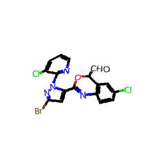 O=CC1OC(c2cc(Br)nn2-c2ncccc2Cl)=Nc2ccc(Cl)cc21